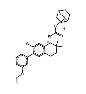 CCOc1cccc(-c2cc3c(cc2F)[C@H](NC(=O)O[C@H]2CN4CCC2CC4)C(C)(C)CC3)c1